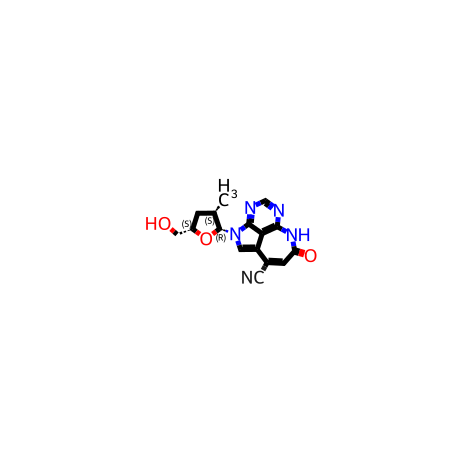 C[C@H]1C[C@@H](CO)O[C@H]1n1cc2c3c(ncnc31)NC(=O)C=C2C#N